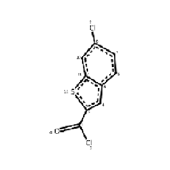 O=C(Cl)c1cc2ccc(Cl)cc2s1